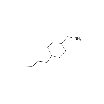 [CH2]CCCC1CCC(CN)CC1